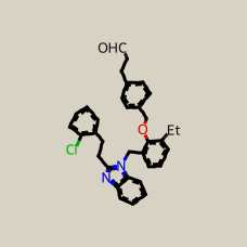 CCc1cccc(Cn2c(CCc3ccccc3Cl)nc3ccccc32)c1OCc1ccc(CCC=O)cc1